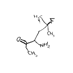 CC(=O)C(N)CC(C)(C)F